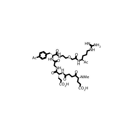 CN[C@H](CCC(=O)O)C(=O)CCC(=O)N[C@H](CCC(=O)O)C(=O)NCC(=O)N[C@H](Cc1ccc(C(C)=O)cc1)C(=O)NCCOCC(=O)N[C@@H](CCCNC(=N)N)C(C)=O